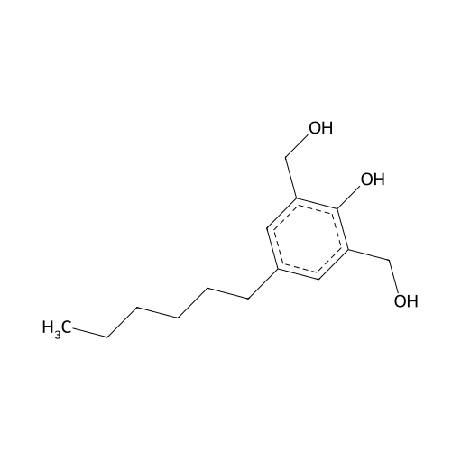 CCCCCCc1cc(CO)c(O)c(CO)c1